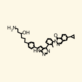 Cc1c(-c2ncnc3[nH]c(-c4ccc(CCCC(O)CCN)cc4)cc23)cccc1-n1ncc2cc(C3CC3)ccc2c1=O